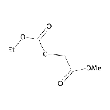 CCOC(=O)OCC(=O)OC